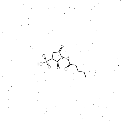 CCCCC(=O)ON1C(=O)CC(S(=O)(=O)O)C1=O